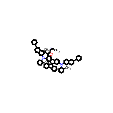 C=Cc1c(/C=C\C)oc2c3c(cc(N(c4ccc5cc(-c6ccccc6)ccc5c4)c4ccccc4C)c12)C1(c2ccccc2-c2ccccc21)c1cc(N(c2ccc4cc(-c5ccccc5)ccc4c2)c2ccccc2C)ccc1-3